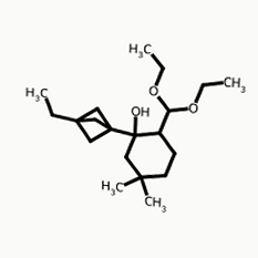 CCOC(OCC)C1CCC(C)(C)CC1(O)C12CC(CC)(C1)C2